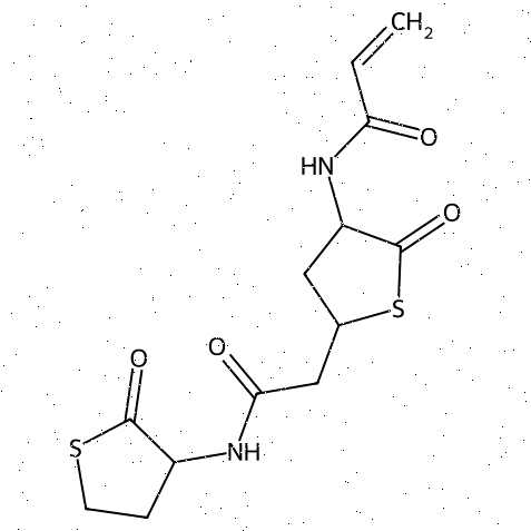 C=CC(=O)NC1CC(CC(=O)NC2CCSC2=O)SC1=O